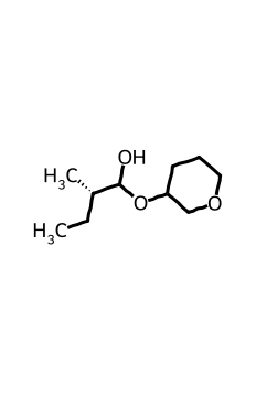 CC[C@H](C)C(O)OC1CCCOC1